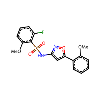 COc1ccccc1-c1cc(NS(=O)(=O)c2c(F)cccc2OC)no1